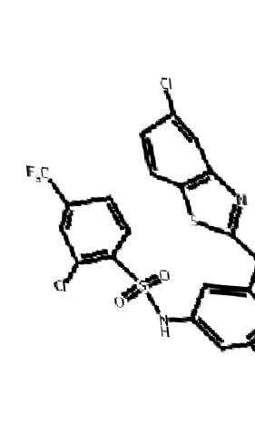 O=S(=O)(Nc1cc(Cl)cc(Cc2nc3cc(Cl)ccc3s2)c1)c1ccc(C(F)(F)F)cc1Cl